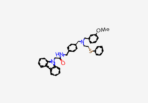 COc1cccc(CN(CCSc2ccccc2)Cc2ccc(CNC(=O)Cn3c4ccccc4c4ccccc43)cc2)c1